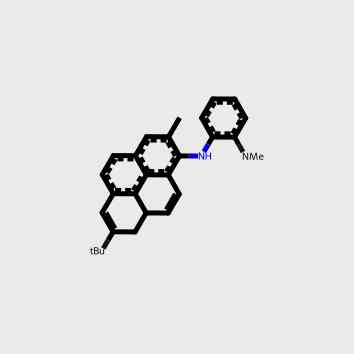 CNc1ccccc1Nc1c(C)cc2ccc3c4c2c1C=CC4CC(C(C)(C)C)=C3